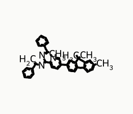 C=C(/N=C(\N=C(/C)c1ccccc1)c1ccc(-c2ccc3c(c2)C(C)(C)c2cc(C)ccc2-3)cn1)c1ccccc1